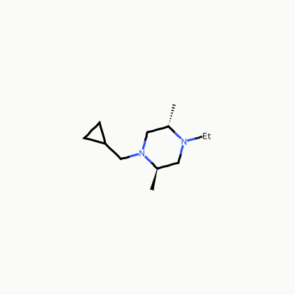 CCN1C[C@@H](C)N(CC2CC2)C[C@@H]1C